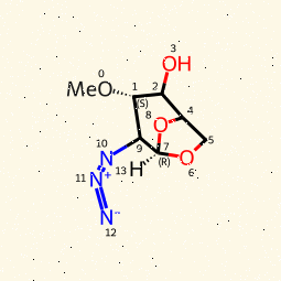 CO[C@@H]1C(O)C2CO[C@H](O2)C1N=[N+]=[N-]